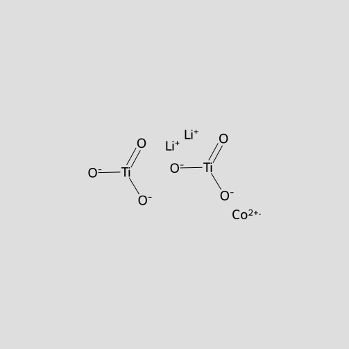 [Co+2].[Li+].[Li+].[O]=[Ti]([O-])[O-].[O]=[Ti]([O-])[O-]